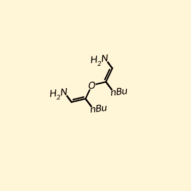 CCCC/C(=C/N)O/C(=C\N)CCCC